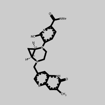 CNC(=O)c1ccc(N2CCN(Cc3cnc4cc(C)c(=O)[nH]c4c3)[C@H]3C[C@H]32)c(C#N)n1